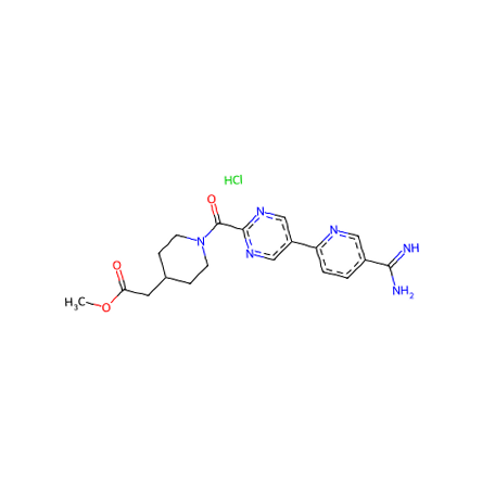 COC(=O)CC1CCN(C(=O)c2ncc(-c3ccc(C(=N)N)cn3)cn2)CC1.Cl